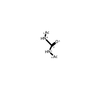 CC(=O)NC(=O)NC(C)=O